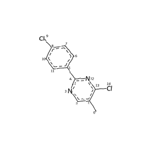 Cc1cnc(-c2ccc(Cl)cc2)nc1Cl